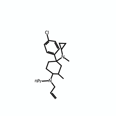 C=CCN(CCC)C1CCC(c2ccc(Cl)cc2)(N(C)C2CC2)CC1C